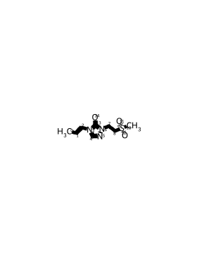 C/C=C/n1cnn(CCS(C)(=O)=O)c1=O